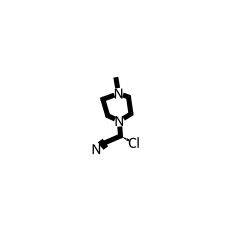 CN1CCN([C@H](Cl)C#N)CC1